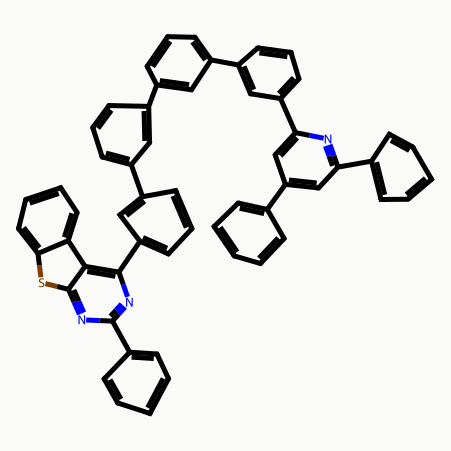 c1ccc(-c2cc(-c3ccccc3)nc(-c3cccc(-c4cccc(-c5cccc(-c6cccc(-c7nc(-c8ccccc8)nc8sc9ccccc9c78)c6)c5)c4)c3)c2)cc1